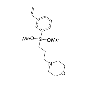 C=Cc1cccc([Si](CCCN2CCOCC2)(OC)OC)c1